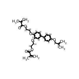 C=C(C)COc1ccc(-c2ccc(OCCOC(=O)C(=C)C)c(OCCOC(=O)C(=C)C)c2)cc1